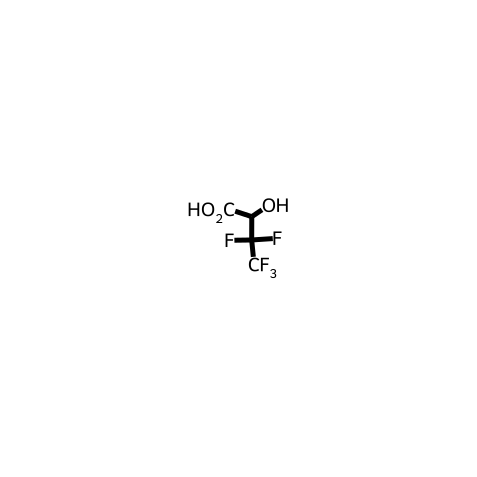 O=C(O)C(O)C(F)(F)C(F)(F)F